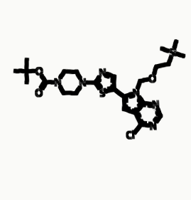 CC(C)(C)OC(=O)N1CCN(c2ncc(-c3cc4c(Cl)ncnc4n3COCC[Si](C)(C)C)s2)CC1